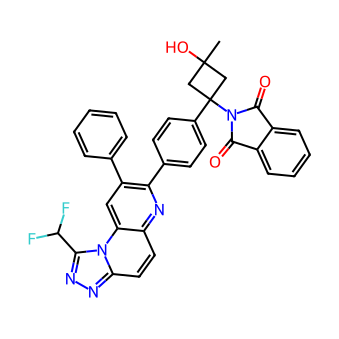 CC1(O)CC(c2ccc(-c3nc4ccc5nnc(C(F)F)n5c4cc3-c3ccccc3)cc2)(N2C(=O)c3ccccc3C2=O)C1